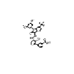 COc1cc(OC)cc(N2C(=O)C(=NNc3cccc(-c4cccc(C(=O)O)c4)c3O)c3ccc(C(F)(F)F)cc32)c1